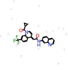 O=C(C=C1C=CN(C(=O)C2CC2)c2cc(C(F)(F)F)ccc21)Nc1ccc2cccnc2c1